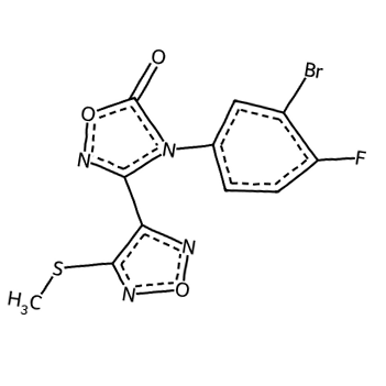 CSc1nonc1-c1noc(=O)n1-c1ccc(F)c(Br)c1